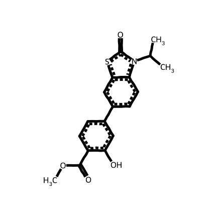 COC(=O)c1ccc(-c2ccc3c(c2)sc(=O)n3C(C)C)cc1O